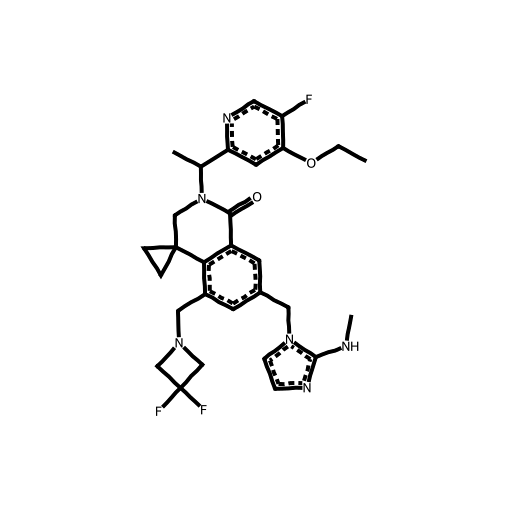 CCOc1cc(C(C)N2CC3(CC3)c3c(CN4CC(F)(F)C4)cc(Cn4ccnc4NC)cc3C2=O)ncc1F